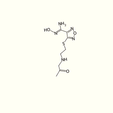 CC(=O)CNCCSc1nonc1/C(N)=N/O